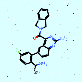 CC(C)(C)C(N)c1ccc(F)cc1-c1ccc2nc(N)nc(C(=O)N3Cc4ccccc4C3)c2c1